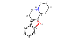 c1ccc2c3c(oc2c1)C1CCCCN1CC3